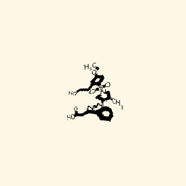 CCOc1ccc(S(=O)(=O)N2C[C@@H](C)[C@@H](n3nc(CC(=O)O)c4ccccc43)C2)c(CCO)c1